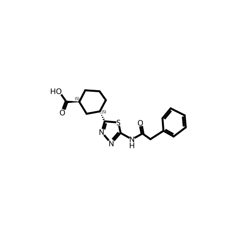 O=C(Cc1ccccc1)Nc1nnc([C@H]2CCC[C@H](C(=O)O)C2)s1